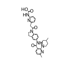 Cc1ccc(C(=O)Nc2ccc3c(c2)CCN3C(=O)Cc2cccc(NC(=O)O)n2)c(N2CCC(C)CC2)n1